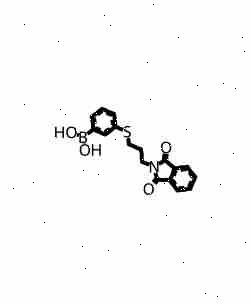 O=C1c2ccccc2C(=O)N1CCCSc1cccc(B(O)O)c1